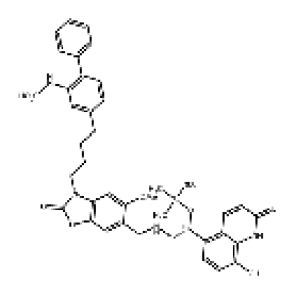 COc1cc2c(cc1CNC[C@H](O[Si](C)(C)C(C)(C)C)c1ccc(O)c3[nH]c(=O)ccc13)oc(=O)n2CCCCc1ccc(-c2ccccc2)c(NC(=O)O)c1